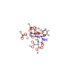 COC(=O)C(C(=O)OC)C1=C[N+](C(=O)c2ccccc2)([C@@H]2O[C@H](COC(C)=O)[C@@H](OC(C)=O)[C@]2(O)C(C)=O)C(=O)NC1=O